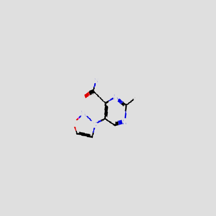 Cc1ncc(N2C=CON2)c(C(N)=O)n1